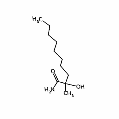 CCCCCCCCC(C)(O)C(N)=O